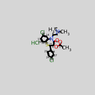 CC(=O)OC1C(=O)N(CCN(C)C)c2cc(Cl)ccc2SC1c1ccc(Cl)cc1.Cl